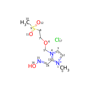 C[n+]1ccn(COCCS(C)(=O)=O)c1C=NO.[Cl-]